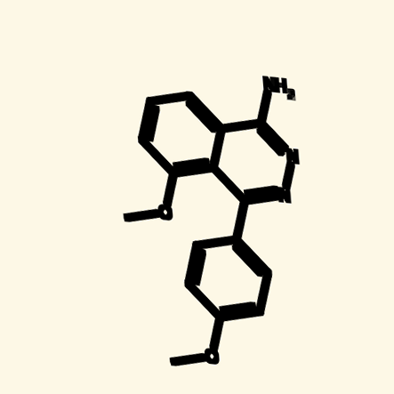 COc1ccc(-c2nnc(N)c3cccc(OC)c23)cc1